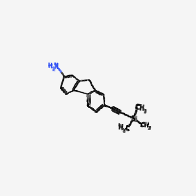 C[Si](C)(C)C#Cc1ccc2c(c1)Cc1cc(N)ccc1-2